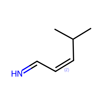 CC(C)/C=C\C=N